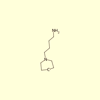 NCCCCN1CC[CH]CC1